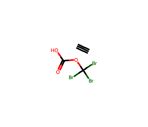 C#C.O=C(O)OC(Br)(Br)Br